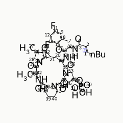 CCCC/C=C/C(=O)N[C@@H](Cc1cc(F)cc(F)c1)C(=O)N[C@H]1CC2C(=O)C23C[C@@H](C)CN3C(=O)[C@H](C)NC(=O)[C@@H]2CCCCN2C(=O)[C@@H]2C[C@@H](OP(=O)(O)O)CN2C1=O